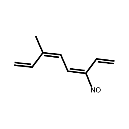 C=C/C(C)=C\C=C(/C=C)N=O